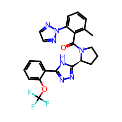 Cc1cccc(-n2nccn2)c1C(=O)N1CCC[C@H]1c1nnc(-c2ccccc2OC(F)(F)F)[nH]1